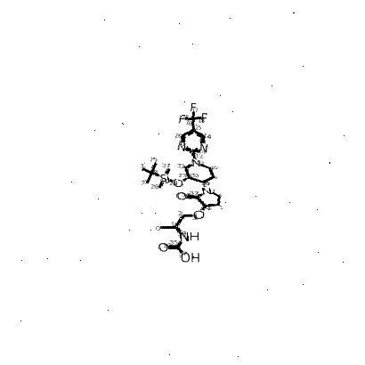 CC(COC1CCN([C@H]2CCN(c3ncc(C(F)(F)F)cn3)C[C@@H]2O[Si](C)(C)C(C)(C)C)C1=O)NC(=O)O